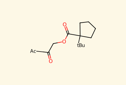 CC(=O)C(=O)COC(=O)C1(C(C)(C)C)CCCC1